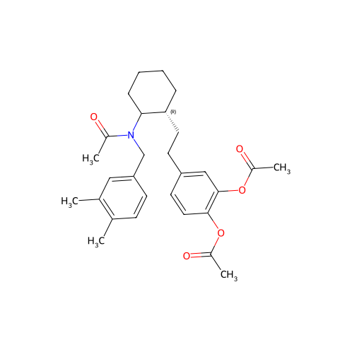 CC(=O)Oc1ccc(CC[C@H]2CCCCC2N(Cc2ccc(C)c(C)c2)C(C)=O)cc1OC(C)=O